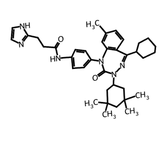 Cc1ccc2c(c1)N(c1ccc(NC(=O)CCc3ncc[nH]3)cc1)C(=O)N(C1CC(C)(C)CC(C)(C)C1)N=C2C1CCCCC1